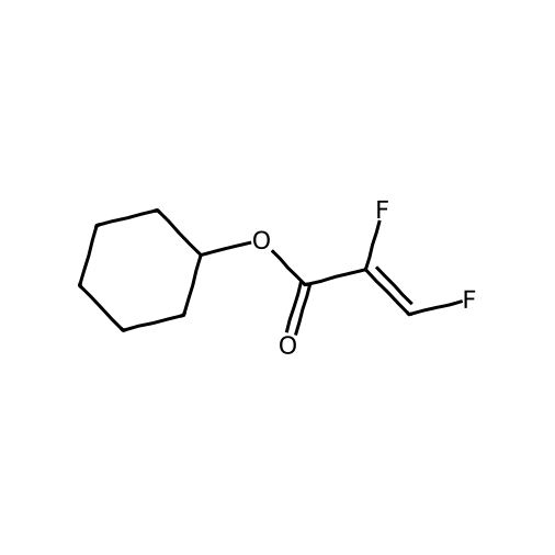 O=C(OC1CCCCC1)C(F)=CF